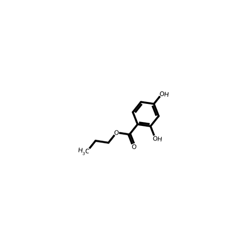 CCCOC(=O)c1ccc(O)cc1O